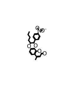 CCCCC(Oc1ccc2c(C)cc(=O)oc2c1)C(=O)c1ccc([N+](=O)[O-])cc1